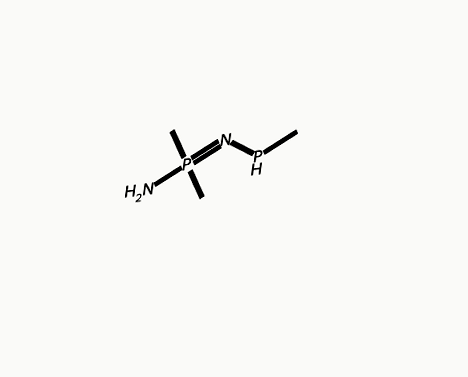 CPN=P(C)(C)N